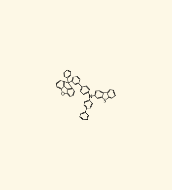 c1ccc(-c2ccc(N(c3ccc(-c4cccc(C5(c6ccccc6)c6cccc7oc8cccc5c8c67)c4)cc3)c3ccc4c(c3)sc3ccccc34)cc2)cc1